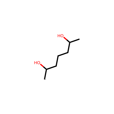 [CH2]C(O)CCCC(C)O